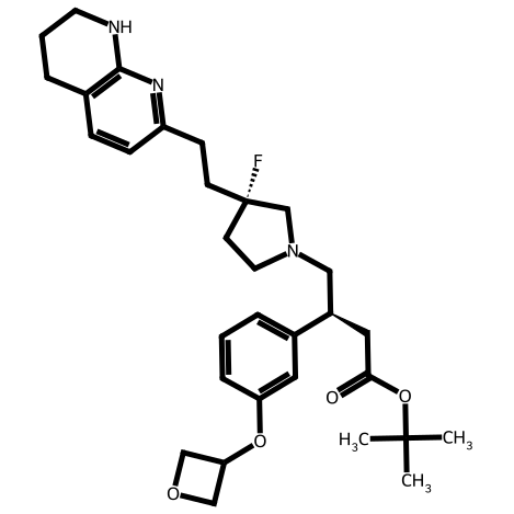 CC(C)(C)OC(=O)C[C@H](CN1CC[C@@](F)(CCc2ccc3c(n2)NCCC3)C1)c1cccc(OC2COC2)c1